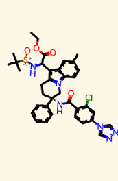 CCOC(=O)C(N[S@+]([O-])C(C)(C)C)c1c2n(c3ccc(C)cc13)C[C@@](NC(=O)c1ccc(-n3cnnc3)cc1Cl)(c1ccccc1)CC2